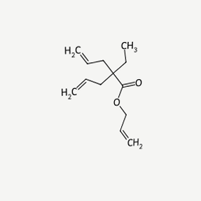 C=CCOC(=O)C(CC)(CC=C)CC=C